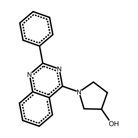 OC1CCN(c2nc(-c3ccccc3)nc3ccccc23)C1